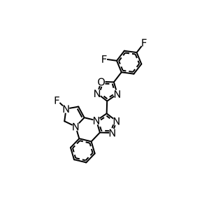 Fc1ccc(-c2nc(-c3nnc4n3C3=CN(F)CN3c3ccccc3-4)no2)c(F)c1